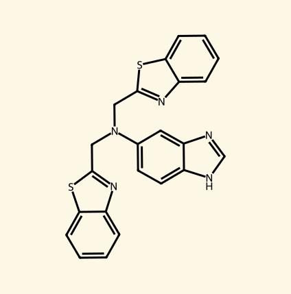 c1ccc2sc(CN(Cc3nc4ccccc4s3)c3ccc4[nH]cnc4c3)nc2c1